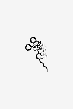 C[C@H](/C=C\C(O)CCCCI)[C@H](C)O[Si](c1ccccc1)(c1ccccc1)C(C)(C)C